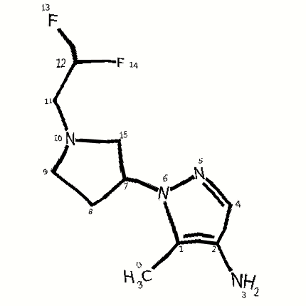 Cc1c(N)cnn1C1CCN(CC(F)F)C1